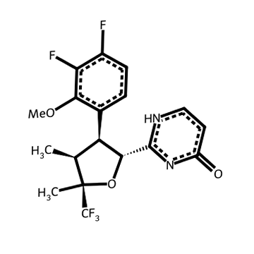 COc1c([C@H]2[C@H](c3nc(=O)cc[nH]3)O[C@@](C)(C(F)(F)F)[C@H]2C)ccc(F)c1F